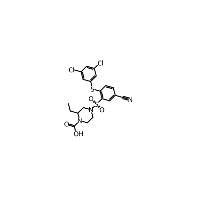 CCC1CN(S(=O)(=O)c2cc(C#N)ccc2Sc2cc(Cl)cc(Cl)c2)CCN1C(=O)O